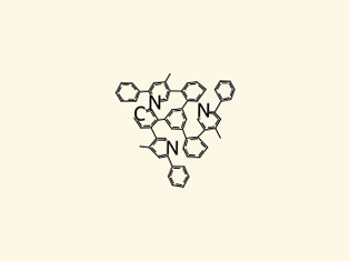 Cc1cc(-c2ccccc2)ncc1-c1ccccc1-c1cc(-c2ccccc2-c2cnc(-c3ccccc3)cc2C)cc(-c2ccccc2-c2cnc(-c3ccccc3)cc2C)c1